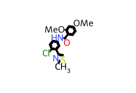 COc1ccc(C(=O)Nc2ccc(Cl)c(-c3csc(C)n3)c2)c(OC)c1